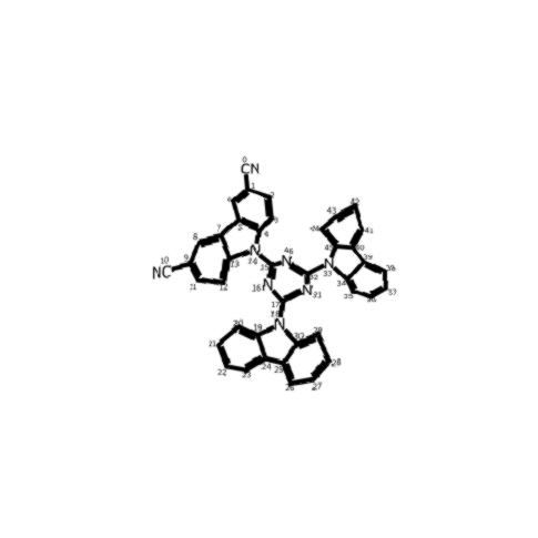 N#Cc1ccc2c(c1)c1cc(C#N)ccc1n2-c1nc(-n2c3ccccc3c3ccccc32)nc(-n2c3ccccc3c3ccccc32)n1